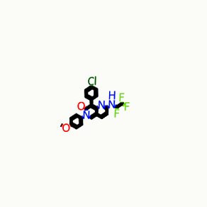 COc1ccc(-n2cc3ccc(NC(F)C(F)F)nc3c(-c3ccc(Cl)cc3)c2=O)cc1